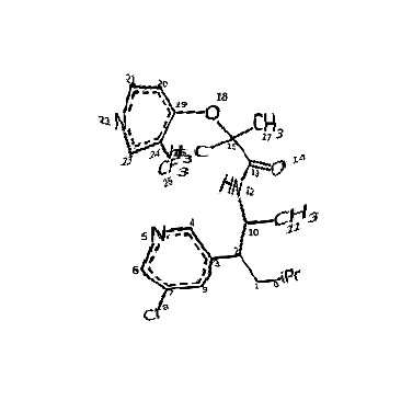 CC(C)CC(c1cncc(Cl)c1)C(C)NC(=O)C(C)(C)Oc1ccncc1C(F)(F)F